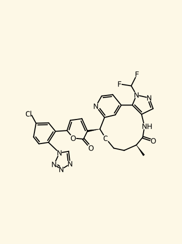 C[C@H]1CCC[C@@H](c2ccc(-c3cc(Cl)ccc3-n3cnnn3)oc2=O)c2cc(ccn2)-c2c(cnn2C(F)F)NC1=O